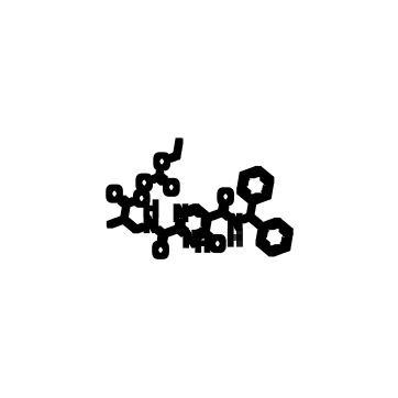 CCOC(=O)OOC(=O)C(C)CNC(=O)c1ncc(C(=O)NC(c2ccccc2)c2ccccc2)c(O)n1